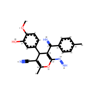 COc1ccc(C2C(C#N)=C(C)OC(N=N)=C2C(=N)c2ccc(C)cc2)cc1O